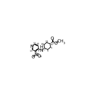 COC(=O)[C@H]1CC[C@@H](Nc2ccncc2[N+](=O)[O-])CC1